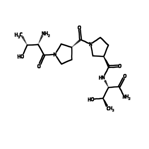 C[C@@H](O)[C@H](N)C(=O)N1CC[C@@H](C(=O)N2CC[C@@H](C(=O)N[C@H](C(N)=O)[C@@H](C)O)C2)C1